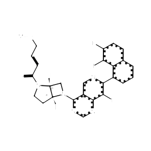 COC/C=C/C(=O)N1CC[C@@H]2[C@H]1CN2c1ncnc2c(F)c(-c3cccc4ccc(F)c(Cl)c34)ncc12